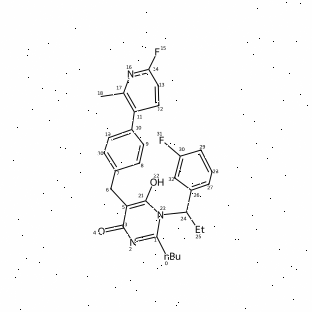 CCCCc1nc(=O)c(Cc2ccc(-c3ccc(F)nc3C)cc2)c(O)n1C(CC)c1cccc(F)c1